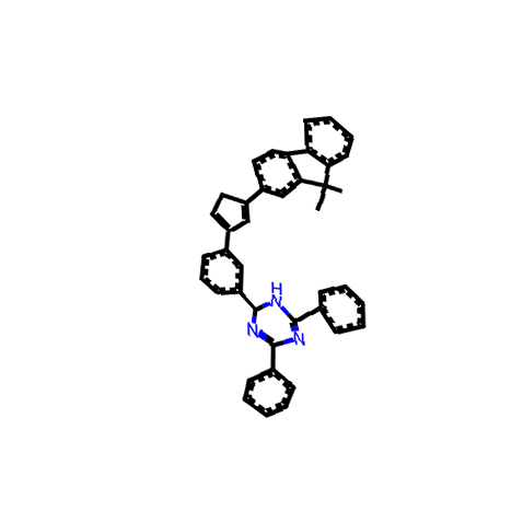 CC1(C)c2ccccc2-c2ccc(C3=CC(c4cccc(C5N=C(c6ccccc6)N=C(c6ccccc6)N5)c4)=CC3)cc21